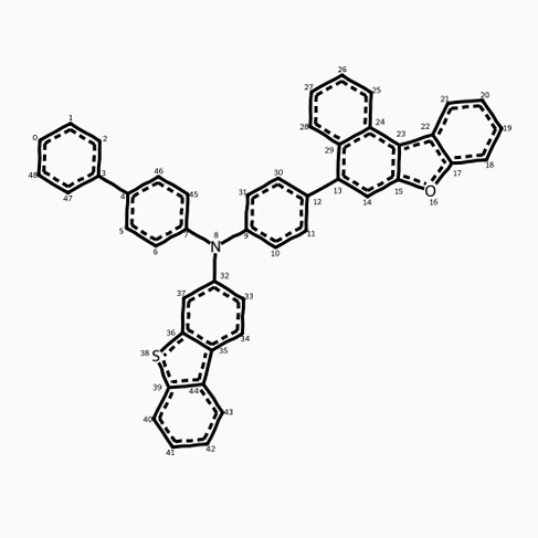 c1ccc(-c2ccc(N(c3ccc(-c4cc5oc6ccccc6c5c5ccccc45)cc3)c3ccc4c(c3)sc3ccccc34)cc2)cc1